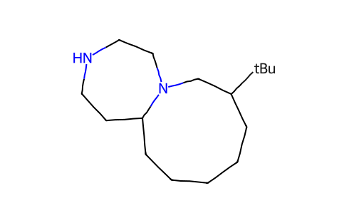 CC(C)(C)C1CCCCCC2CCNCCN2C1